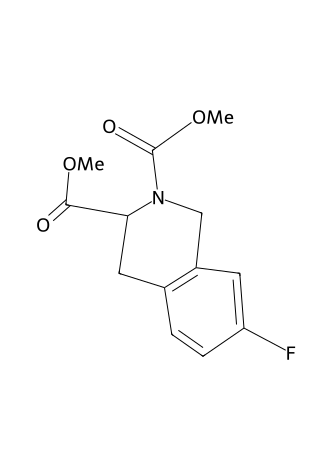 COC(=O)C1Cc2ccc(F)cc2CN1C(=O)OC